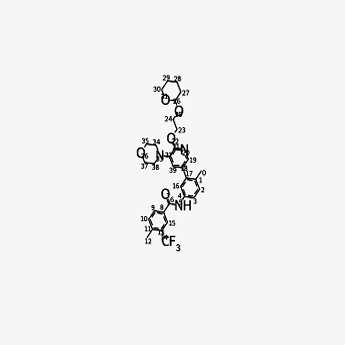 Cc1ccc(NC(=O)c2ccc(C)c(C(F)(F)F)c2)cc1-c1cnc(OCCOC2CCCCO2)c(N2CCOCC2)c1